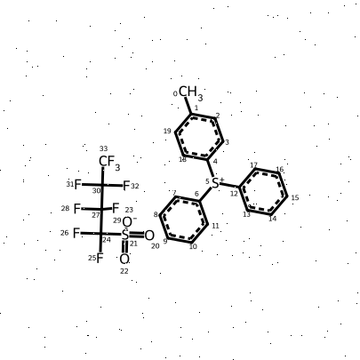 Cc1ccc([S+](c2ccccc2)c2ccccc2)cc1.O=S(=O)([O-])C(F)(F)C(F)(F)C(F)(F)C(F)(F)F